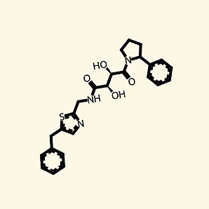 O=C(NCc1ncc(Cc2ccccc2)s1)[C@H](O)[C@@H](O)C(=O)N1CCCC1c1ccccc1